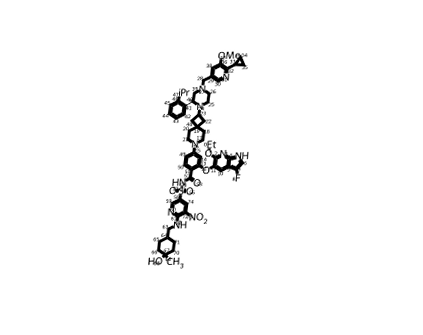 CCOc1nc2[nH]cc(F)c2cc1Oc1cc(N2CCC3(CC2)CC(N2CCN(Cc4cnc(C5CC5)c(OC)c4)C[C@H]2c2ccccc2C(C)C)C3)ccc1C(=O)NS(=O)(=O)c1cnc(NCC2CCC(C)(O)CC2)c([N+](=O)[O-])c1